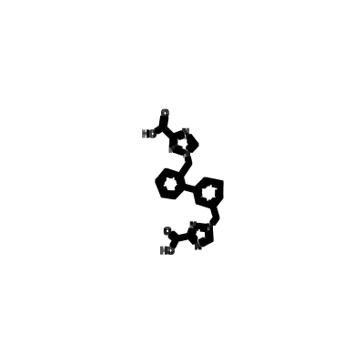 O=C(O)c1ncn(Cc2cccc(-c3ccccc3Cn3cnc(C(=O)O)n3)c2)n1